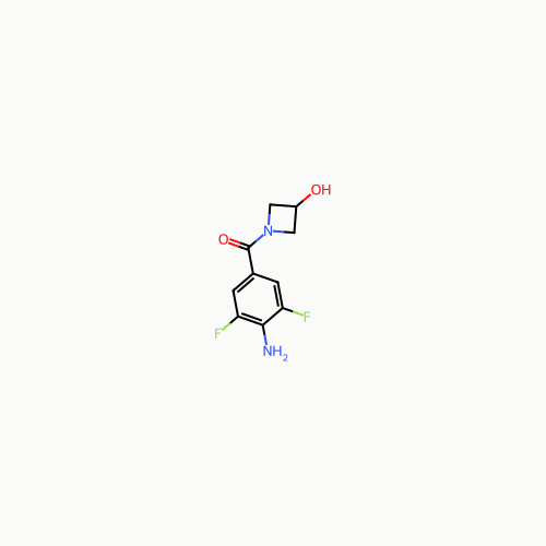 Nc1c(F)cc(C(=O)N2CC(O)C2)cc1F